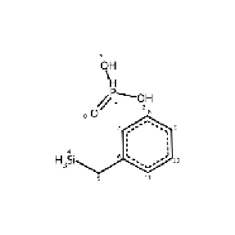 O=[PH](O)O.[SiH3]Cc1ccccc1